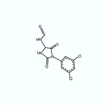 O=CNC1NC(=O)N(c2cc(Cl)cc(Cl)c2)C1=O